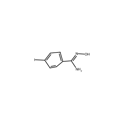 N/C(=N\O)c1ccc(I)cc1